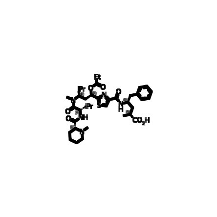 CCC(=O)O[C@H](C[C@H](C(C)C)N(C)C(=O)[C@@H](NC(=O)[C@H]1CCCCN1C)C(C)C)c1nc(C(=O)N[C@@H](Cc2ccccc2)C[C@H](C)C(=O)O)cs1